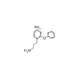 NCCCc1ccccc1Oc1ccccc1.P